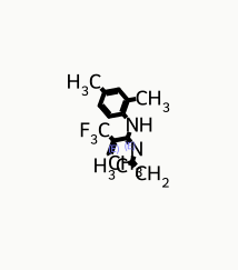 C=C(C)/N=C(Nc1ccc(C)cc1C)\C(=C/C)C(F)(F)F